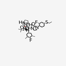 CCSc1ccc(-n2ccn(-c3c4c(nn3-c3cc(C)c(F)c(C)c3)C[C@H]3CC[C@@H]4N3C(=O)OC(C)(C)C)c2=O)c(F)c1